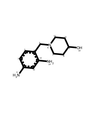 Nc1ccc(CN2CCC(O)CC2)c(N)c1